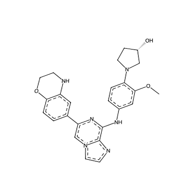 COc1cc(Nc2nc(-c3ccc4c(c3)NCCO4)cn3ccnc23)ccc1N1CC[C@H](O)C1